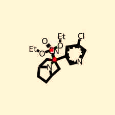 CCOP(=O)(CN1C2CCC1CC(C#N)(c1cncc(Cl)c1)C2)OCC